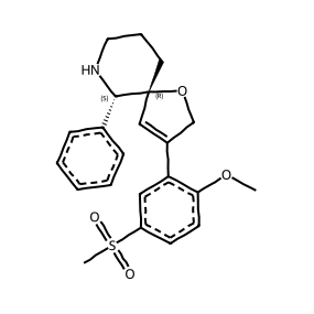 COc1ccc(S(C)(=O)=O)cc1C1=C[C@@]2(CCCN[C@H]2c2ccccc2)OC1